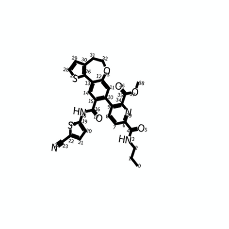 CCCNC(=O)c1ccc(-c2cc3c(cc2C(=O)Nc2ccc(C#N)s2)-c2sccc2CCO3)c(C(=O)OC)n1